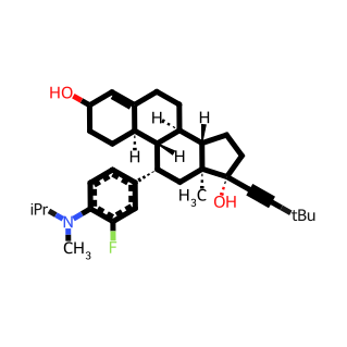 CC(C)N(C)c1ccc([C@H]2C[C@@]3(C)[C@@H](CC[C@@]3(O)C#CC(C)(C)C)[C@@H]3CCC4=CC(O)CC[C@@H]4[C@H]32)cc1F